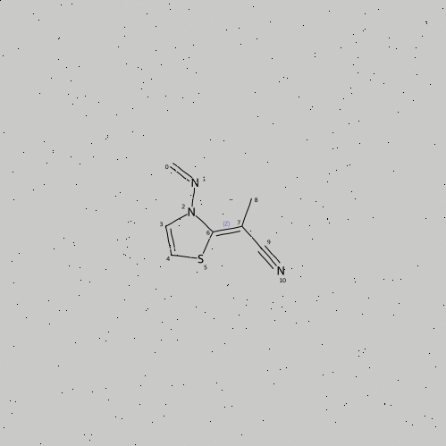 C=NN1C=CS/C1=C(/C)C#N